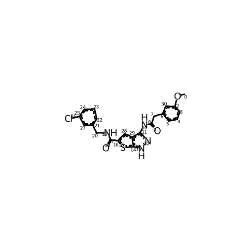 COc1cccc(CC(=O)Nc2n[nH]c3sc(C(=O)NCc4cccc(Cl)c4)cc23)c1